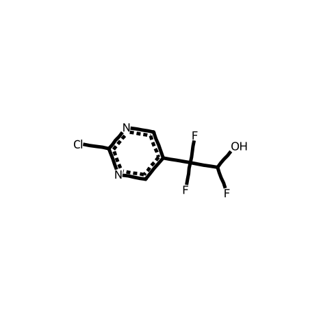 OC(F)C(F)(F)c1cnc(Cl)nc1